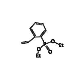 C=Cc1ccccc1P(=O)(OCC)OCC